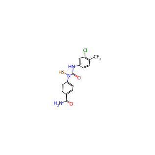 NC(=O)c1ccc(N(S)C(=O)Nc2ccc(C(F)(F)F)c(Cl)c2)cc1